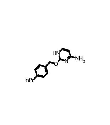 CCCc1ccc(COC2N=C(N)C=CN2)cc1